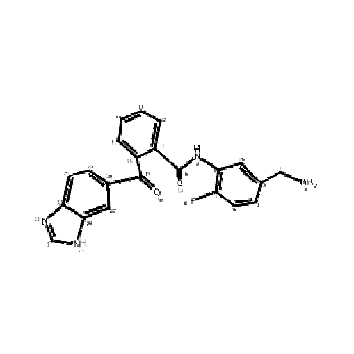 NCc1ccc(F)c(NC(=O)c2ccccc2C(=O)c2ccc3n[c][nH]c3c2)c1